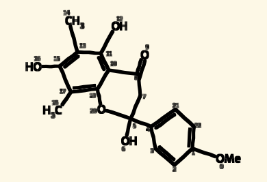 COc1ccc(C2(O)CC(=O)c3c(O)c(C)c(O)c(C)c3O2)cc1